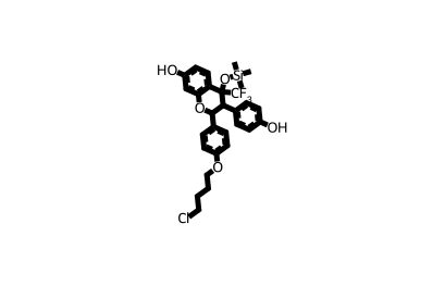 C[Si](C)(C)OC1(C(F)(F)F)c2ccc(O)cc2OC(c2ccc(OCCCCCl)cc2)C1c1ccc(O)cc1